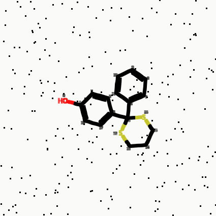 Oc1ccc(C2(c3ccccc3)SCCCS2)cc1